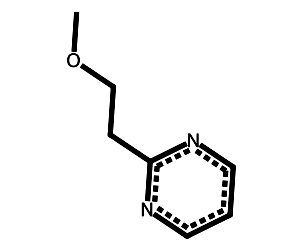 COCCc1ncccn1